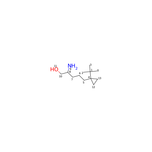 CC(C)(C)C1(CCCC(N)CO)CC1